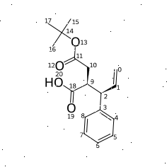 C=C[C@@H](c1ccccc1)[C@H](CC(=O)OC(C)(C)C)C(=O)O